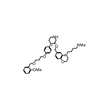 CNCCCCN1CCOc2ccc(CO[C@H]3CNCC[C@@H]3c3ccc(OCCCOCc4ccccc4OC)cc3)cc21